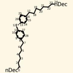 CCCCCCCCCCCCCCCCCc1ccc([I+]c2ccc(CCCCCCCCCCCCCCCCC)cc2)cc1